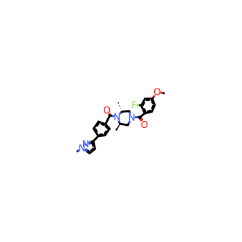 COc1ccc(C(=O)N2C[C@@H](C)N(C(=O)c3ccc(-c4ccn(C)n4)cc3)[C@H](C)C2)c(F)c1